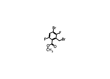 COC(=O)c1c(F)cc(Br)c(F)c1CBr